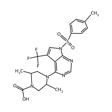 Cc1ccc(S(=O)(=O)n2cc(C(F)(F)F)c3c(N4CC(C)N(C(=O)O)CC4C)ncnc32)cc1